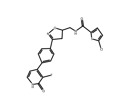 O=C(NCC1CC(c2ccc(-c3cc[nH]c(=O)c3F)cc2)=NO1)c1ccc(Cl)s1